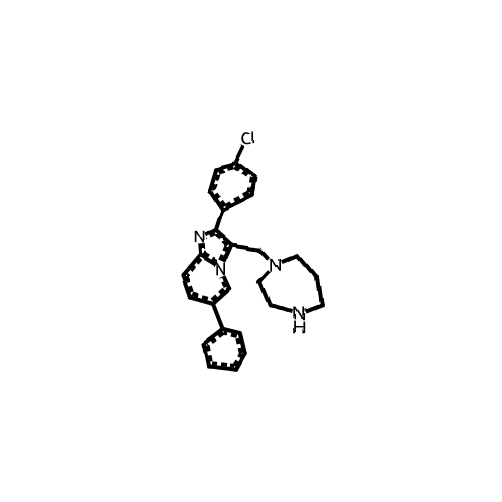 Clc1ccc(-c2nc3ccc(-c4ccccc4)cn3c2CN2CCCNCC2)cc1